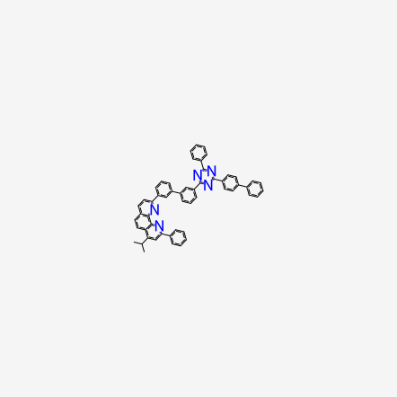 CC(C)c1cc(-c2ccccc2)nc2c1ccc1ccc(-c3cccc(-c4cccc(-c5nc(-c6ccccc6)nc(-c6ccc(-c7ccccc7)cc6)n5)c4)c3)nc12